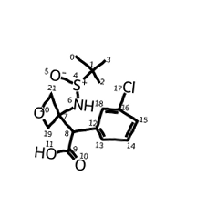 CC(C)(C)[S+]([O-])NC1(C(C(=O)O)c2cccc(Cl)c2)COC1